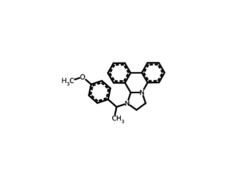 COc1ccc(C(C)N2CCN3c4ccccc4-c4ccccc4C32)cc1